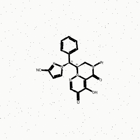 CC(C)N1C[C@H]([C@H](c2ccccc2)n2ccc(C#N)n2)n2ncc(=O)c(O)c2C1=O